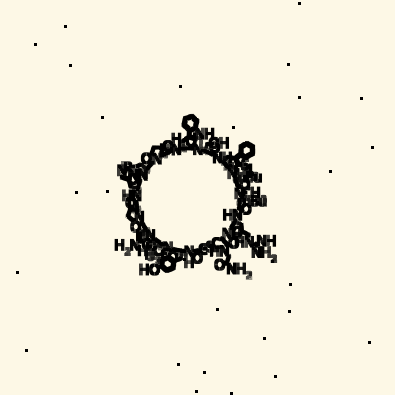 CCCC[C@H]1C(=O)N[C@@H](CCCNC(=N)N)C(=O)NC(C(=O)NCC(N)=O)CSCC(=O)N[C@@H](Cc2ccc(O)cc2)C(=O)N(C)[C@@H](C)C(=O)N[C@@H](CC(N)=O)C(=O)N2CCC[C@H]2C(=O)N[C@@H](Cc2cnc[nH]2)C(=O)N[C@@H](CC(C)C)C(=O)N2CCC[C@H]2C(=O)N[C@@H](Cc2c[nH]c3ccccc23)C(=O)N[C@@H](CO)C(=O)N[C@@H](Cc2csc3ccccc23)C(=O)N([13CH3])[C@@H](CCCC)C(=O)N1C